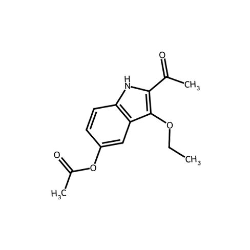 CCOc1c(C(C)=O)[nH]c2ccc(OC(C)=O)cc12